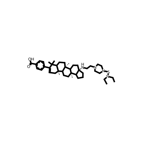 CCN(CC)SN1CCN(CCN[C@]23CCCC2[C@@]2(C)CCC4[C@@](C)(CCC5C(C)(C)C(c6ccc(C(=O)O)cc6)=CC[C@@]54C)C2CC3)CC1